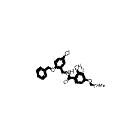 COCOc1ccc(C(=O)NCc2cc(Cl)ccc2OCc2ccccc2)c(C)c1